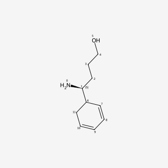 N[C@@H](CCCO)C1C=CC=CC1